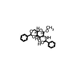 CO[C@H]1O[C@@H]2COC(c3ccccc3)O[C@H]2[C@H](O)[C@H]1NC(=O)c1ccccc1